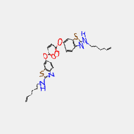 C=CCCCCNc1nc2ccc(OC(=O)/C=C\C(=O)Oc3ccc4nc(NCCCCC=C)sc4c3)cc2s1